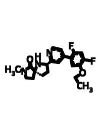 CCOc1cc(-c2ccnc([C@H]3CC[C@@]4(CCN(C)C4=O)N3)c2)c(F)cc1F